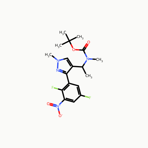 CC(c1cn(C)nc1-c1cc(F)cc([N+](=O)[O-])c1F)N(C)C(=O)OC(C)(C)C